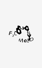 COC(=O)C1CN(c2cccc(-n3ccc4cc(C(F)(F)F)ccc43)c2)C1